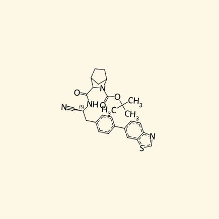 CC(C)(C)OC(=O)N1C2CCC(C2)C1C(=O)N[C@H](C#N)Cc1ccc(-c2ccc3ncsc3c2)cc1